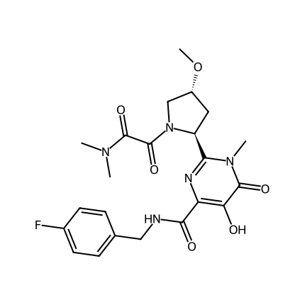 CO[C@@H]1C[C@@H](c2nc(C(=O)NCc3ccc(F)cc3)c(O)c(=O)n2C)N(C(=O)C(=O)N(C)C)C1